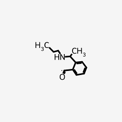 CCCNC(C)c1ccccc1[C]=O